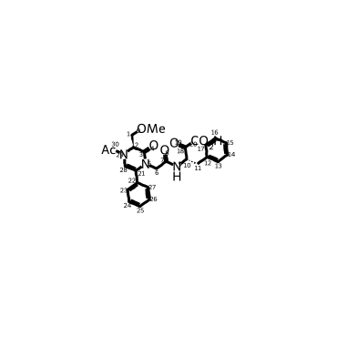 COC[C@H]1C(=O)N(CC(=O)N[C@@H](Cc2ccccc2)C(=O)C(=O)O)C(c2ccccc2)=CN1C(C)=O